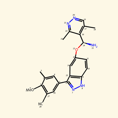 COc1c(C)cc(-c2n[nH]c3ccc(O[C@H](N)c4c(C)cnnc4C)cc23)cc1C#N